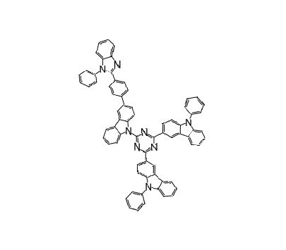 c1ccc(-n2c(-c3ccc(-c4ccc5c(c4)c4ccccc4n5-c4nc(-c5ccc6c(c5)c5ccccc5n6-c5ccccc5)nc(-c5ccc6c(c5)c5ccccc5n6-c5ccccc5)n4)cc3)nc3ccccc32)cc1